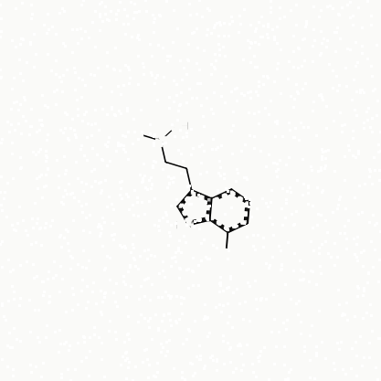 CCN(C)CCc1c[nH]c2c(I)cccc12